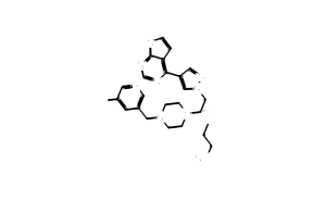 N#CCCC[C@@H](Cn1cc(-c2ncnc3[nH]ccc23)cn1)N1CCN(Cc2cncc(F)c2)CC1